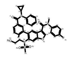 Cc1ccc(C(=O)N(c2ccccc2)C2CC2)cc1-c1cc2c(C(=O)N(C)c3ccc(F)cc3)coc2cc1N(CCO)S(C)(=O)=O